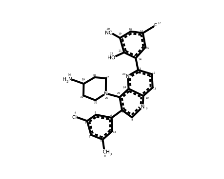 Cc1cc(Cl)cc(-c2cnc3ccc(-c4cc(F)cc(C#N)c4O)nc3c2N2CCC(N)CC2)c1